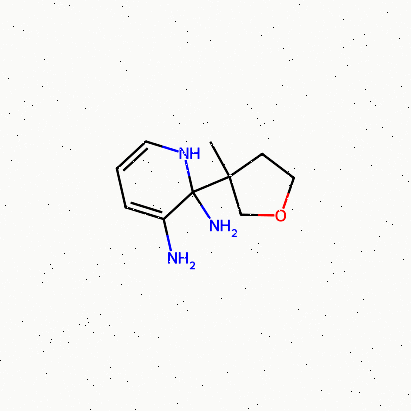 CC1(C2(N)NC=CC=C2N)CCOC1